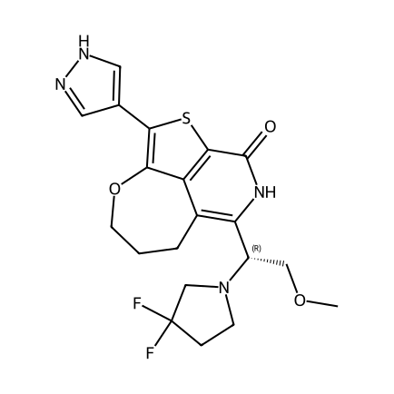 COC[C@@H](c1[nH]c(=O)c2sc(-c3cn[nH]c3)c3c2c1CCCO3)N1CCC(F)(F)C1